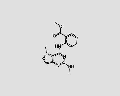 CNc1nc(Nc2ccccc2C(=O)OC)c2c(ccn2C)n1